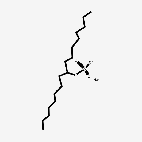 CCCCCCCCC(CCCCCCCC)OS(=O)(=O)[O-].[Na+]